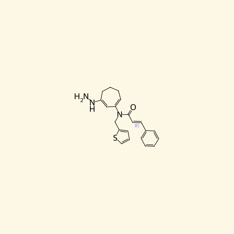 NNC1=CC(N(Cc2cccs2)C(=O)/C=C/c2ccccc2)=CCCC1